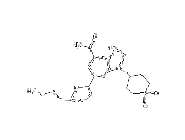 CCSCc1ccc(-c2cc(C(N)=O)c3[nH]cc(C4CCS(=O)(=O)CC4)c3c2)o1